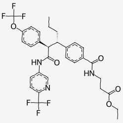 CCC[C@H](c1ccc(C(=O)NCCC(=O)OCC)cc1)[C@@H](C(=O)Nc1ccc(C(F)(F)F)nc1)c1ccc(OC(F)(F)F)cc1